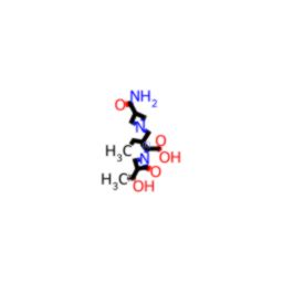 CC/C(CN1CC(C(N)=O)C1)=C(/C(=O)O)N1CC([C@@H](C)O)C1=O